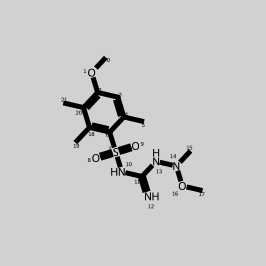 COc1cc(C)c(S(=O)(=O)NC(=N)NN(C)OC)c(C)c1C